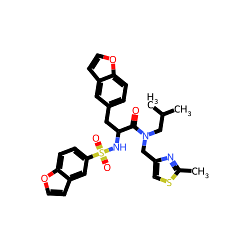 Cc1nc(CN(CC(C)C)C(=O)C(Cc2ccc3occc3c2)NS(=O)(=O)c2ccc3occc3c2)cs1